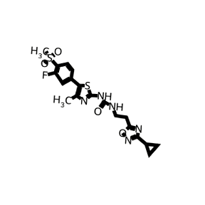 Cc1nc(NC(=O)NCCc2nc(C3CC3)no2)sc1-c1ccc(S(C)(=O)=O)c(F)c1